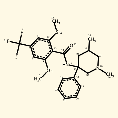 COc1cc(C(F)(F)F)cc(SC)c1C(=O)NC1(c2ccccc2)CC(C)CN(C)C1